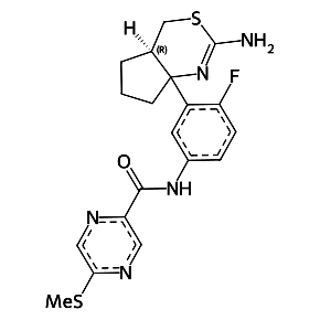 CSc1cnc(C(=O)Nc2ccc(F)c(C34CCC[C@H]3CSC(N)=N4)c2)cn1